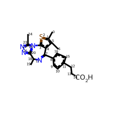 Cc1sc2c(c1C)C(c1ccc(CCC(=O)O)cc1)=NC(C)c1nnc(C)n1-2